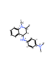 CC(=O)N1c2ccccc2C(Nc2ccc(N(C)C)cc2)CC1C